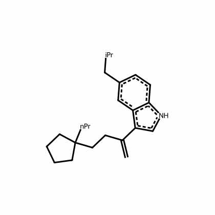 C=C(CCC1(CCC)CCCC1)c1c[nH]c2ccc(CC(C)C)cc12